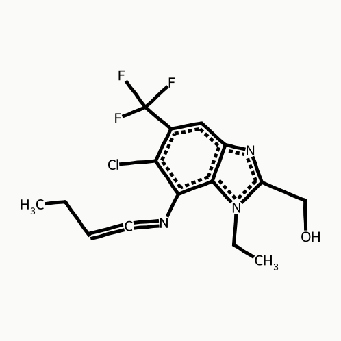 CCC=C=Nc1c(Cl)c(C(F)(F)F)cc2nc(CO)n(CC)c12